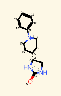 O=C1NC[C@@H](C2CCN(c3ccccc3)CC2)N1